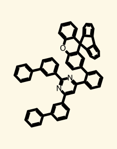 c1ccc(-c2cccc(-c3cc(-c4ccccc4-c4ccc5c(c4)C4(c6ccccc6O5)c5ccccc5-c5ccccc54)nc(-c4cccc(-c5ccccc5)c4)n3)c2)cc1